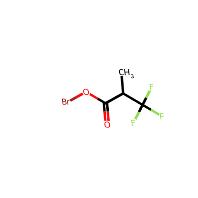 CC(C(=O)OBr)C(F)(F)F